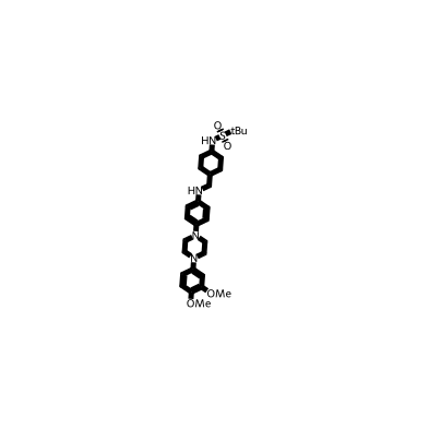 COc1ccc(N2CCN(c3ccc(NCC4CCC(NS(=O)(=O)C(C)(C)C)CC4)cc3)CC2)cc1OC